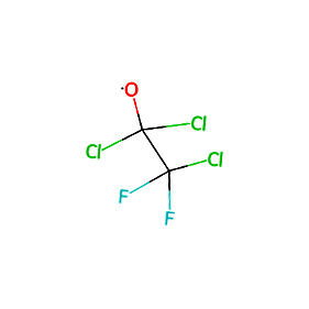 [O]C(Cl)(Cl)C(F)(F)Cl